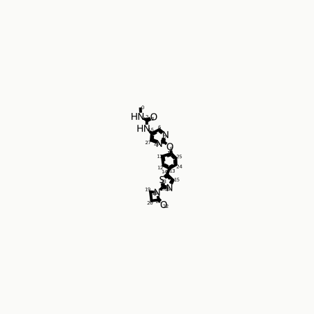 CNC(=O)Nc1cnc(Oc2ccc(-c3cnc(N4CCC4=O)s3)cc2)nc1